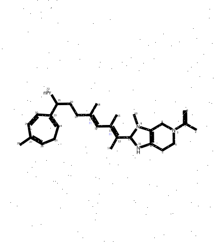 C=C(C)N1CCC2=C(C1)N(C)C(/C(C)=C(C)/C=C(\C)CCC(CCC)C1=CCC=C(C)C=C1)N2